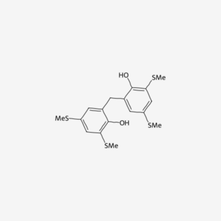 CSc1cc(Cc2cc(SC)cc(SC)c2O)c(O)c(SC)c1